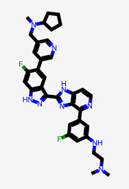 CN(C)CCNc1cc(F)cc(-c2nccc3[nH]c(-c4n[nH]c5cc(F)c(-c6cncc(CN(C)C7CCCC7)c6)cc45)nc23)c1